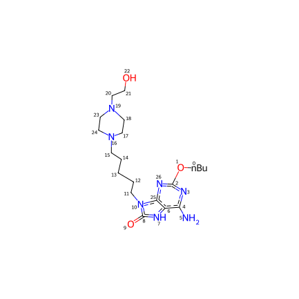 CCCCOc1nc(N)c2[nH]c(=O)n(CCCCCN3CCN(CCO)CC3)c2n1